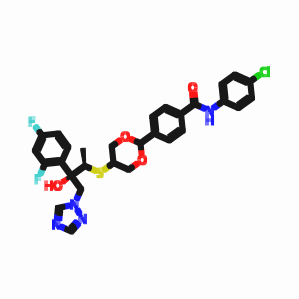 C[C@@H](SC1COC(c2ccc(C(=O)Nc3ccc(Cl)cc3)cc2)OC1)[C@](O)(Cn1cncn1)c1ccc(F)cc1F